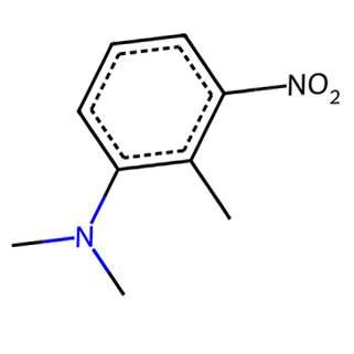 Cc1c(N(C)C)cccc1[N+](=O)[O-]